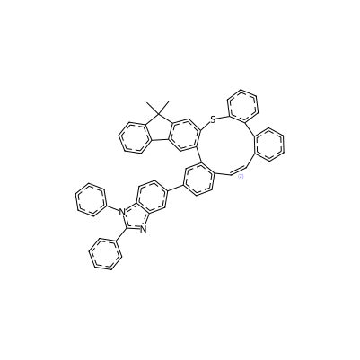 CC1(C)c2ccccc2-c2cc3c(cc21)Sc1ccccc1-c1ccccc1/C=C\c1ccc(-c2ccc4c(c2)nc(-c2ccccc2)n4-c2ccccc2)cc1-3